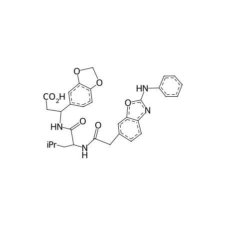 CC(C)CC(NC(=O)Cc1ccc2nc(Nc3ccccc3)oc2c1)C(=O)NC(CC(=O)O)c1ccc2c(c1)OCO2